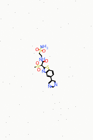 CS(=O)(=O)C(C(=O)NCCS(N)(=O)=O)c1nc2cc(-c3cncnc3)ccc2s1